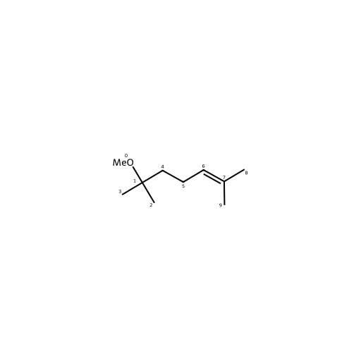 COC(C)(C)CCC=C(C)C